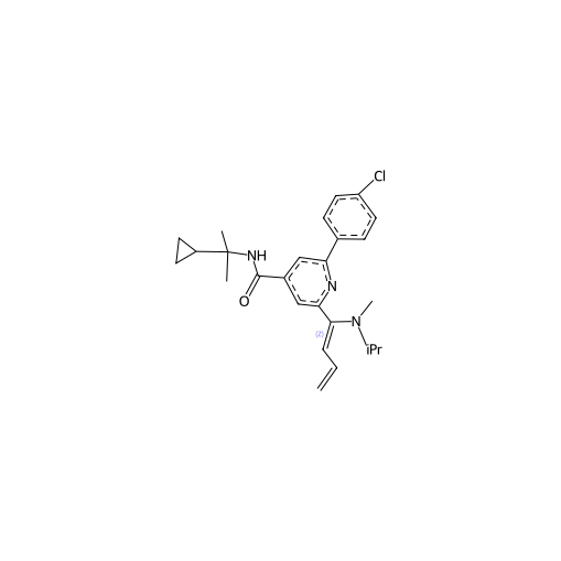 C=C/C=C(/c1cc(C(=O)NC(C)(C)C2CC2)cc(-c2ccc(Cl)cc2)n1)N(C)C(C)C